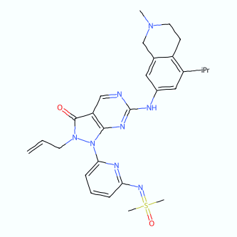 C=CCn1c(=O)c2cnc(Nc3cc4c(c(C(C)C)c3)CCN(C)C4)nc2n1-c1cccc(N=S(C)(C)=O)n1